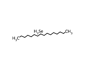 CCCCCCCCCCCCCCCC.[SeH2]